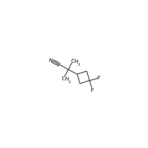 CC(C)(C#N)C1CC(F)(F)C1